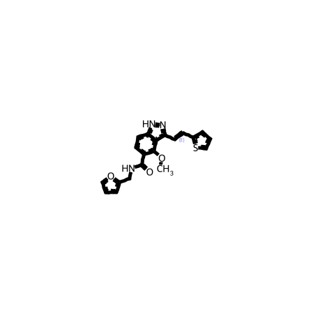 COc1c(C(=O)NCc2ccco2)ccc2[nH]nc(/C=C/c3cccs3)c12